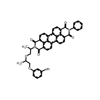 CCCc1cccc(OCC(C)OCC(C)N2C(=O)c3ccc4c5ccc6c7c(ccc(c8ccc(c3c48)C2=O)c75)C(=O)N(c2ccccc2)C6=O)c1